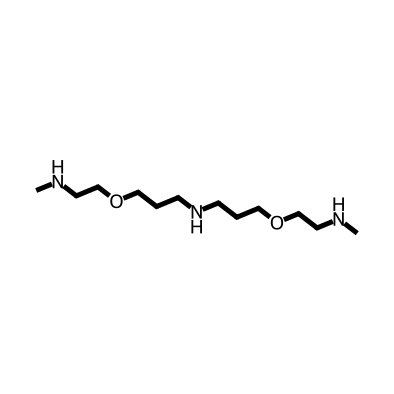 CNCCOCCCNCCCOCCNC